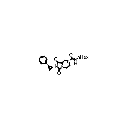 CCCCCCNC(=O)N1CCN2C(=O)N([C@@H]3C[C@H]3c3ccccc3)C(=O)C2C1